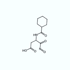 O=NC(=O)C(CC(=O)O)NC(=O)C1CCCCC1